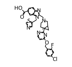 O=C(O)c1ccc2nc(CN3CC[C@@]4(c5nccc(OCc6ccc(Cl)cc6F)n5)CC4C3)n(Cc3cncs3)c2c1